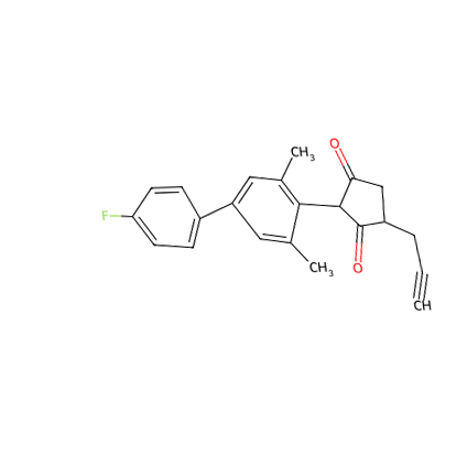 C#CCC1CC(=O)C(c2c(C)cc(-c3ccc(F)cc3)cc2C)C1=O